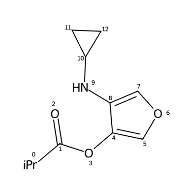 CC(C)C(=O)Oc1cocc1NC1CC1